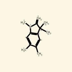 C=C1N(C)c2cc(C)c(C)cc2C1(C)C